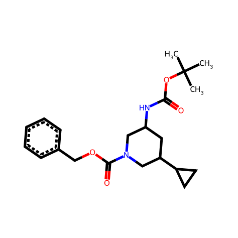 CC(C)(C)OC(=O)NC1CC(C2CC2)CN(C(=O)OCc2ccccc2)C1